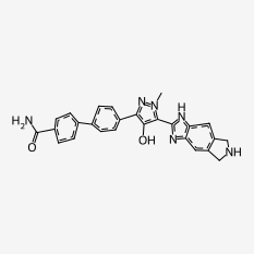 Cn1nc(-c2ccc(-c3ccc(C(N)=O)cc3)cc2)c(O)c1-c1nc2cc3c(cc2[nH]1)CNC3